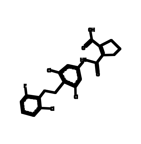 O=C(O)C1=C(C(=O)Nc2cc(Cl)c(CCc3c(F)cccc3Cl)c(Cl)c2)CCC1